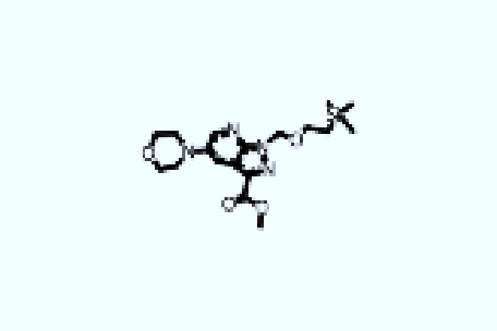 COC(=O)c1nn(COCC[Si](C)(C)C)c2ncc(N3CCOCC3)cc12